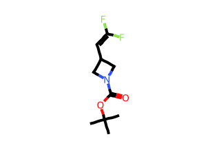 CC(C)(C)OC(=O)N1CC(C=C(F)F)C1